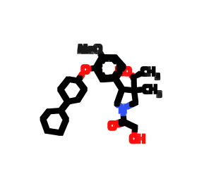 COc1ccc(C2CN(C(=O)CO)CC2(C)[C@H](C)O)cc1OC1CCC(C2CCCCC2)CC1